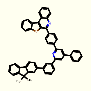 CC1(C)c2ccccc2-c2ccc(-c3cccc(-c4cc(-c5ccccc5)cc(-c5ccc(-c6nc7ccccc7c7c6sc6ccccc67)cc5)n4)c3)cc21